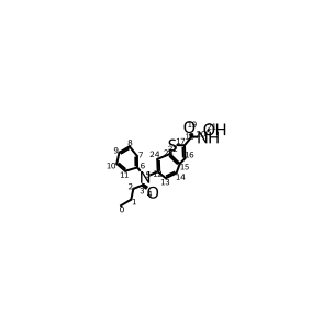 CCCC(=O)N(c1ccccc1)c1ccc2cc(C(=O)NO)sc2c1